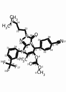 COC(=O)OC1=C(C)N(c2cccc(C(F)(F)F)c2)c2nn(CCCN(C)C)c(=O)n2C1c1ccc(C#N)cc1